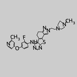 Cc1cc(Oc2ccc(Nc3ncnc4sc5c(c34)CCc3nn(CCN4CCN(C)CC4)cc3-5)c(F)c2)ccn1